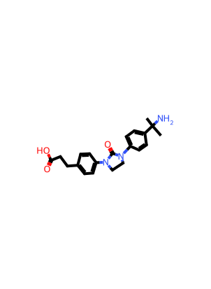 CC(C)(N)c1ccc(N2CCN(c3ccc(CCC(=O)O)cc3)C2=O)cc1